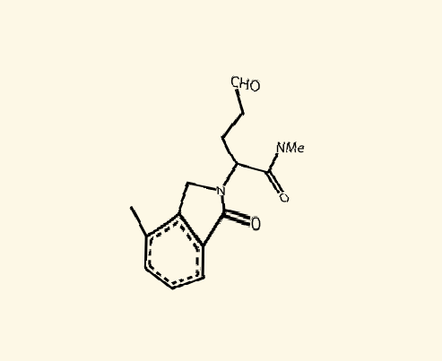 CNC(=O)C(CCC=O)N1Cc2c(C)cccc2C1=O